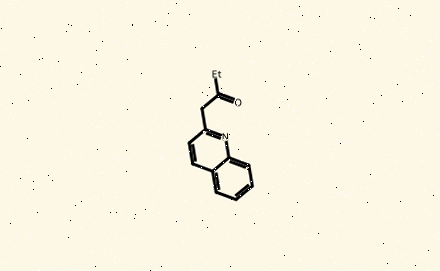 CCC(=O)Cc1ccc2ccccc2n1